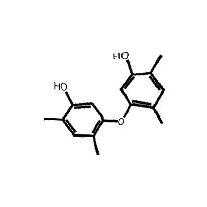 Cc1cc(C)c(Oc2cc(O)c(C)cc2C)cc1O